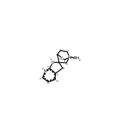 B[N+]12CCC(CC1)C1(Cc3cccnc3O1)C2